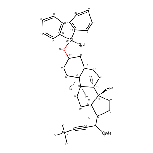 COC(C#C[Si](C)(C)C)C1CC[C@H]2[C@@H]3CCC4CC(O[Si](c5ccccc5)(c5ccccc5)C(C)(C)C)CC[C@]4(C)[C@@H]3CC[C@]12C